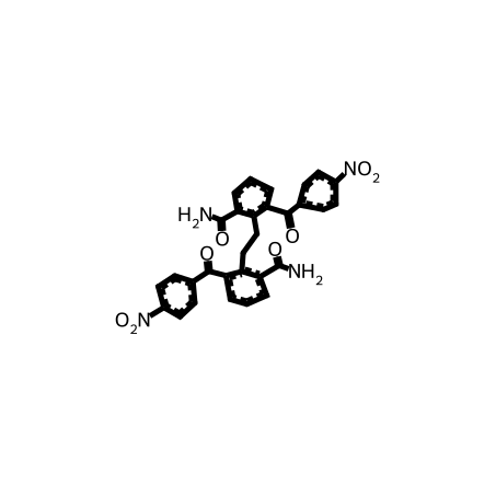 NC(=O)c1cccc(C(=O)c2ccc([N+](=O)[O-])cc2)c1CCc1c(C(N)=O)cccc1C(=O)c1ccc([N+](=O)[O-])cc1